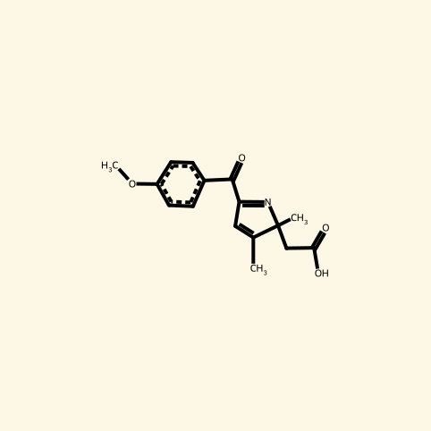 COc1ccc(C(=O)C2=NC(C)(CC(=O)O)C(C)=C2)cc1